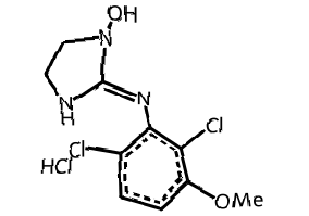 COc1ccc(Cl)c(N=C2NCCN2O)c1Cl.Cl